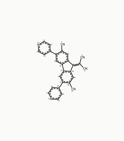 N#CC(C#N)=C1c2cc(C#N)c(-c3ccncc3)cc2-c2cc(-c3ccncc3)c(C#N)cc21